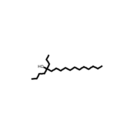 CCCCCCCCCCCCC(O)(CCC)CCCC